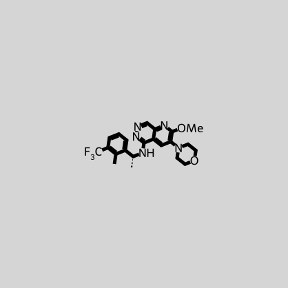 COc1nc2cnnc(N[C@H](C)c3cccc(C(F)(F)F)c3C)c2cc1N1CCOCC1